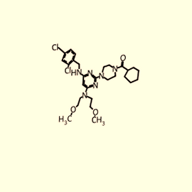 COCCN(CCOC)c1cc(NCc2ccc(Cl)cc2Cl)nc(N2CCN(C(=O)C3CCCCC3)CC2)n1